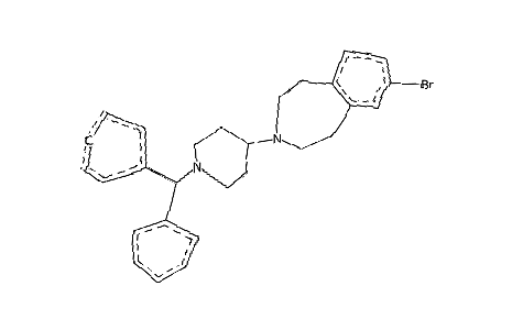 Brc1ccc2c(c1)CCN(C1CCN(C(c3ccccc3)c3ccccc3)CC1)CC2